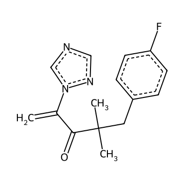 C=C(C(=O)C(C)(C)Cc1ccc(F)cc1)n1cncn1